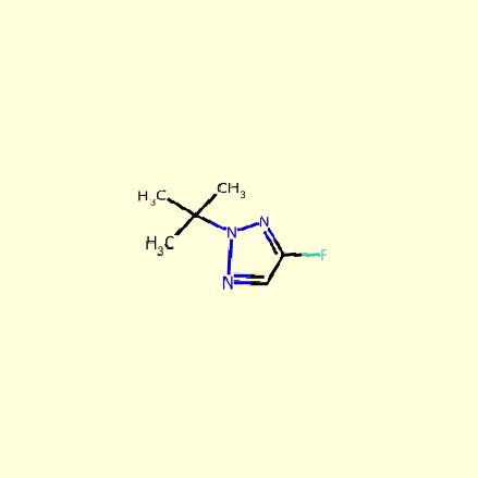 CC(C)(C)n1ncc(F)n1